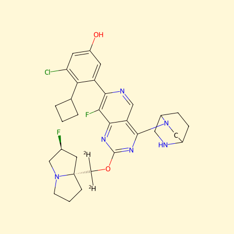 [2H]C([2H])(Oc1nc(N2CC3CCC2CN3)c2cnc(-c3cc(O)cc(Cl)c3C3CCC3)c(F)c2n1)[C@]12CCCN1C[C@@H](F)C2